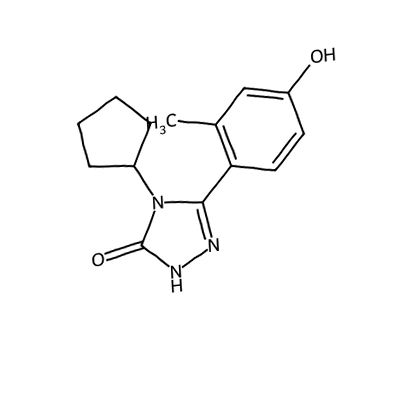 Cc1cc(O)ccc1-c1n[nH]c(=O)n1C1CCCC1